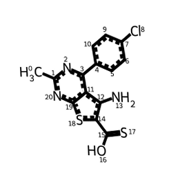 Cc1nc(-c2ccc(Cl)cc2)c2c(N)c(C(O)=S)sc2n1